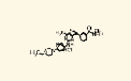 CCN1CCN(c2ccc(Nc3nc(N)c4scc(-c5cccc(C(=O)NC)c5)c4n3)cn2)CC1.Cl